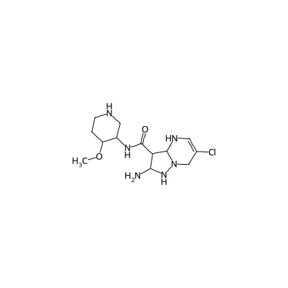 COC1CCNCC1NC(=O)C1C(N)NN2CC(Cl)=CNC12